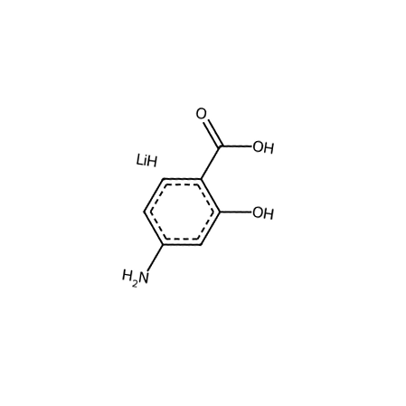 Nc1ccc(C(=O)O)c(O)c1.[LiH]